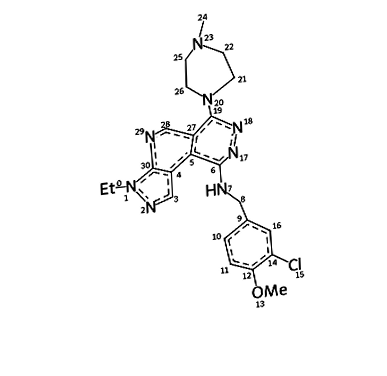 CCn1ncc2c3c(NCc4ccc(OC)c(Cl)c4)nnc(N4CCN(C)CC4)c3cnc21